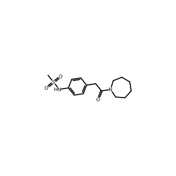 CS(=O)(=O)Nc1ccc(CC(=O)N2CCCCCC2)cc1